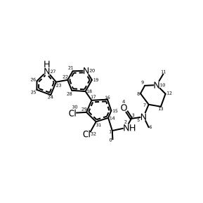 CC(NC(=O)N(C)C1CCN(C)CC1)c1ccc(-c2cncc(-c3ccc[nH]3)c2)c(Cl)c1Cl